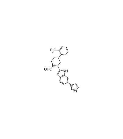 O=CN1CCC(c2ccccc2C(F)(F)F)CC1c1cc2ncc(-n3ccnc3)cc2[nH]1